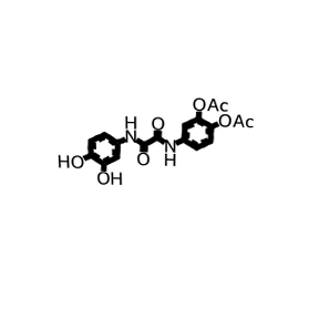 CC(=O)Oc1ccc(NC(=O)C(=O)Nc2ccc(O)c(O)c2)cc1OC(C)=O